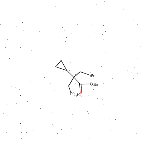 CC(C)COC(=O)C(CC(=O)O)(CC(C)C)C1CC1